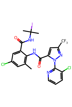 Cc1cc(Cl)cc(C(=O)NC(C)(C)I)c1NC(=O)c1cc(C(F)(F)F)nn1-c1ncccc1Cl